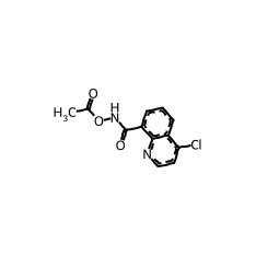 CC(=O)ONC(=O)c1cccc2c(Cl)ccnc12